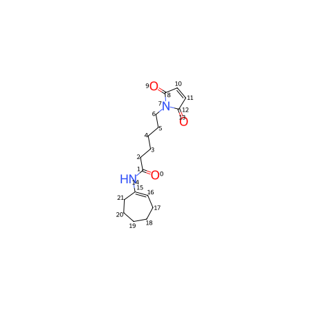 O=C(CCCCCN1C(=O)C=CC1=O)NC1=CCCCCC1